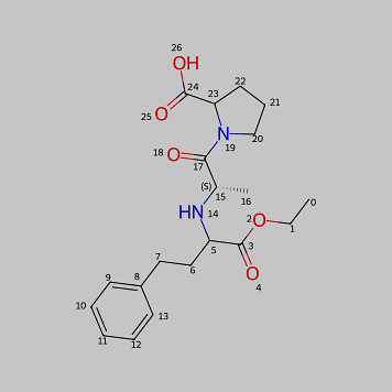 CCOC(=O)C(CCc1ccccc1)N[C@@H](C)C(=O)N1CCCC1C(=O)O